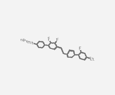 CCCCCC1CCC(C2CCC(CCC3CCC(C4CCC(CC)CC4F)CC3)C(F)C2F)CC1